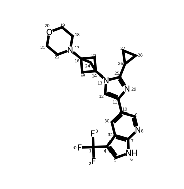 FC(F)(F)c1c[nH]c2ncc(-c3cn(C45CC(N6CCOCC6)(C4)C5)c(C4CC4)n3)cc12